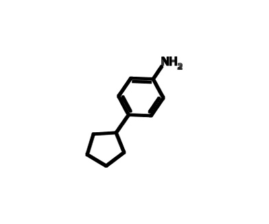 Nc1ccc(C2CCCC2)cc1